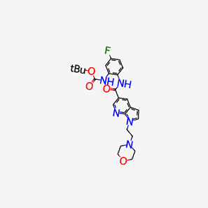 CC(C)(C)OC(=O)Nc1cc(F)ccc1NC(=O)c1cnc2c(ccn2CCN2CCOCC2)c1